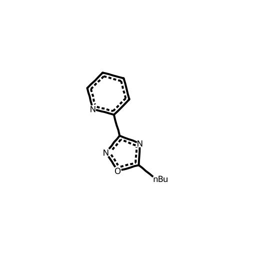 CCCCc1nc(-c2ccccn2)no1